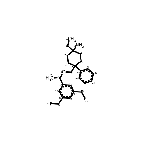 CCC1(N)CCC(CO[C@H](C)c2cc(CF)cc(CF)c2)(c2ccccc2)CC1